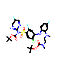 CN(CCN(C)c1cc(F)ccc1Nc1cc(F)c(S(=O)(=O)N(C(=O)OC(C)(C)C)C2N=CC(F)=CN2)cc1Cl)C(=O)OC(C)(C)C